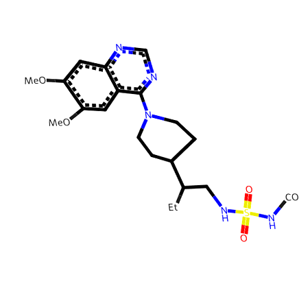 CCC(CNS(=O)(=O)NC(=O)O)C1CCN(c2ncnc3cc(OC)c(OC)cc23)CC1